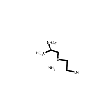 CC(=O)N[C@@H](CSCCC#N)C(=O)O.N